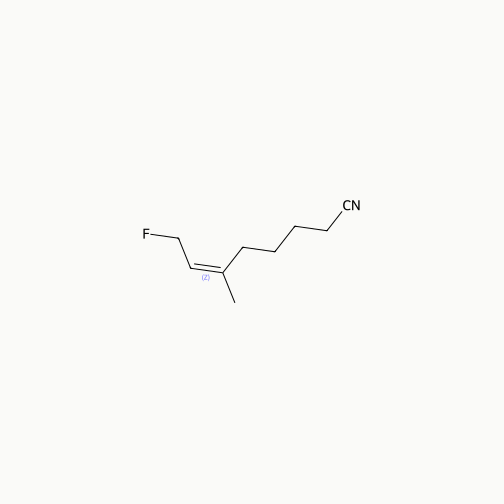 C/C(=C/CF)CCCCC#N